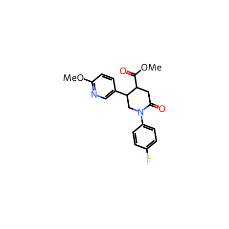 COC(=O)C1CC(=O)N(c2ccc(F)cc2)CC1c1ccc(OC)nc1